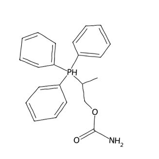 CC(COC(N)=O)[PH](c1ccccc1)(c1ccccc1)c1ccccc1